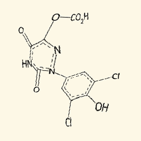 O=C(O)Oc1nn(-c2cc(Cl)c(O)c(Cl)c2)c(=O)[nH]c1=O